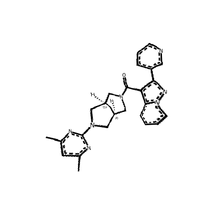 Cc1cc(C)nc(N2C[C@H]3CN(C(=O)c4c(-c5cccnc5)nn5ccccc45)C[C@H]3C2)n1